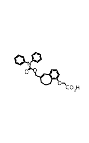 O=C(O)COc1cccc2c1CCCC(COC(=O)N(c1ccccc1)c1ccccc1)=C2